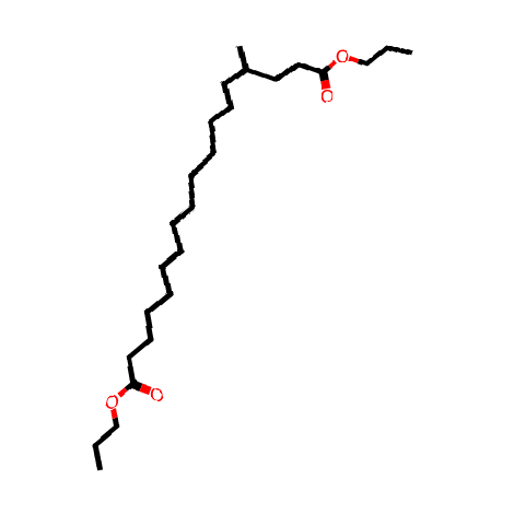 CCCOC(=O)CCCCCCCCCCCCCC(C)CCC(=O)OCCC